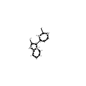 Cc1nccc(-c2c(I)nc3ccccn23)n1